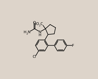 NC(=O)NC1(C(=O)O)CCCC1c1ccc(Cl)cc1-c1ccc(F)cc1